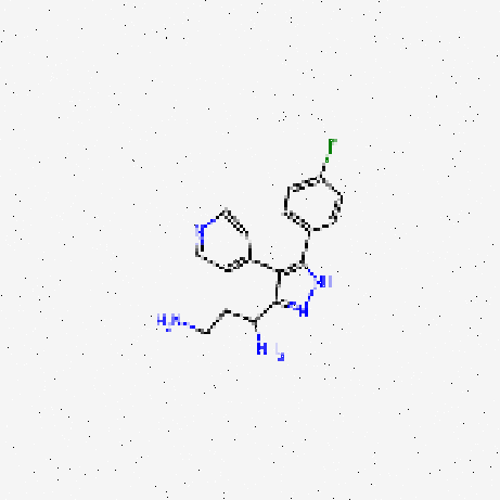 NCCC(N)c1n[nH]c(-c2ccc(F)cc2)c1-c1ccncc1